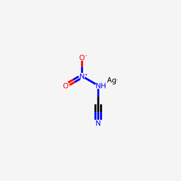 N#CN[N+](=O)[O-].[Ag]